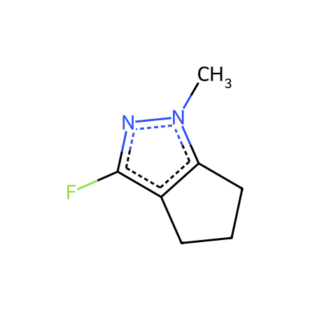 Cn1nc(F)c2c1CCC2